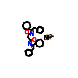 [Br-].[Br-].[Ni+2].c1ccc(C[C@H]2N=C(CC3=N[C@H](Cc4ccccc4)C4(CCCCCC4)O3)OC23CCCCCC3)cc1